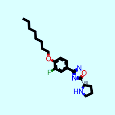 CCCCCCCCOc1ccc(-c2noc([C@@H]3CCCN3)n2)cc1F